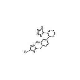 CCC(C)n1nc(C(C)C)nc1Cc1ccc(-c2ccccc2-c2nnn[nH]2)cc1